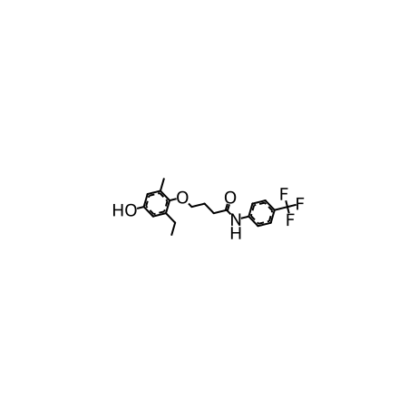 CCc1cc(O)cc(C)c1OCCCC(=O)Nc1ccc(C(F)(F)F)cc1